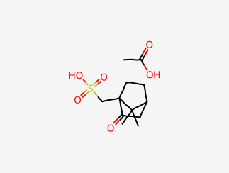 CC(=O)O.CC1(C)C2CCC1(CS(=O)(=O)O)C(=O)C2